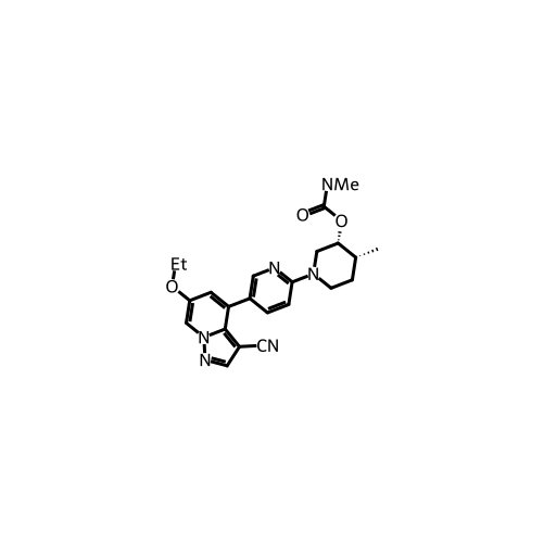 CCOc1cc(-c2ccc(N3CC[C@@H](C)[C@@H](OC(=O)NC)C3)nc2)c2c(C#N)cnn2c1